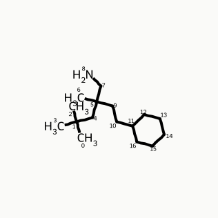 CC(C)(C)CC(C)(CN)CCC1CCCCC1